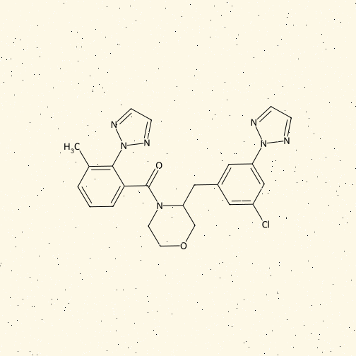 Cc1cccc(C(=O)N2CCOCC2Cc2cc(Cl)cc(-n3nccn3)c2)c1-n1nccn1